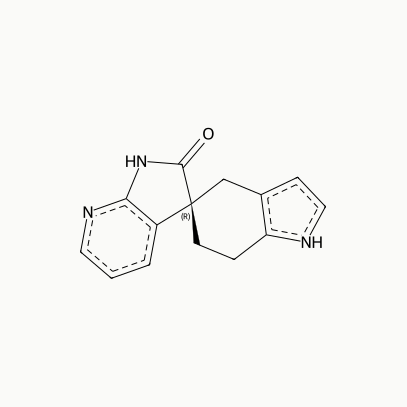 O=C1Nc2ncccc2[C@]12CCc1[nH]ccc1C2